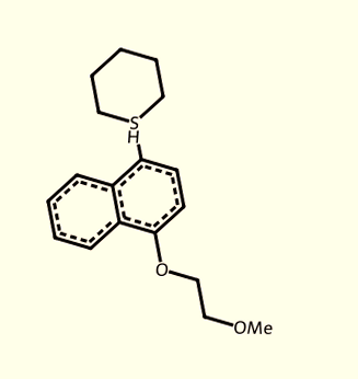 COCCOc1ccc([SH]2CCCCC2)c2ccccc12